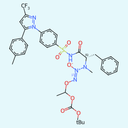 Cc1ccc(-c2cc(C(F)(F)F)nn2-c2ccc(S(=O)(=O)NC(=O)[C@H](Cc3ccccc3)N(C)/[N+]([O-])=N/OC(C)OC(=O)OC(C)(C)C)cc2)cc1